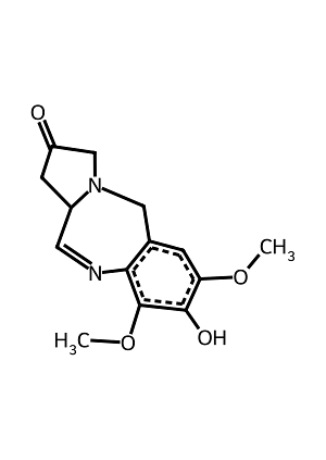 COc1cc2c(c(OC)c1O)N=CC1CC(=O)CN1C2